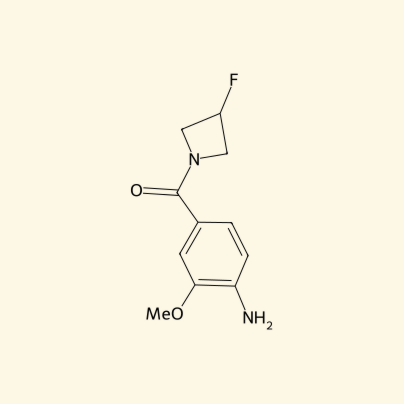 COc1cc(C(=O)N2CC(F)C2)ccc1N